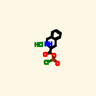 Cl.O=C(OS(=O)Cl)C1Cc2ccccc2CN1